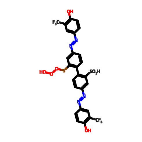 O=S(=O)(O)c1cc(N=Nc2ccc(O)c(C(F)(F)F)c2)ccc1-c1ccc(N=Nc2ccc(O)c(C(F)(F)F)c2)cc1SOOO